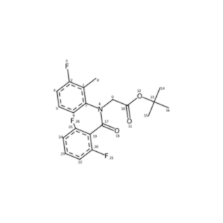 Cc1c(F)cccc1N(CC(=O)OC(C)(C)C)C(=O)c1c(F)cccc1F